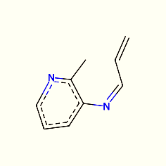 C=C/C=N\c1cccnc1C